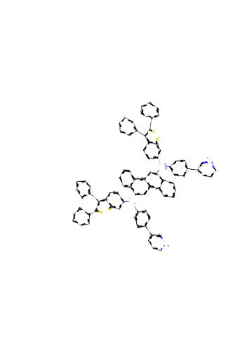 c1ccc(-c2sc3cc(N(c4ccc(-c5cccnc5)cc4)c4cc5c6ccccc6c(N(c6ccc(-c7cccnc7)cc6)c6ccc7c(-c8ccccc8)c(-c8ccccc8)sc7c6)cc5c5ccccc45)ccc3c2-c2ccccc2)cc1